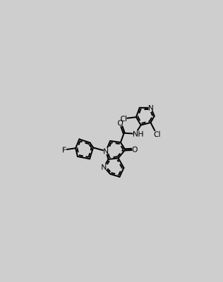 O=C(Nc1c(Cl)cncc1Cl)c1cn(-c2ccc(F)cc2)c2ncccc2c1=O